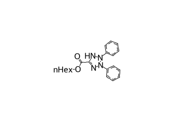 CCCCCCOC(=O)C1=NN(c2ccccc2)N(c2ccccc2)N1